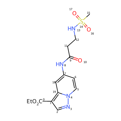 CCOC(=O)c1cnn2ccc(NC(=O)CCNS(C)(=O)=O)cc12